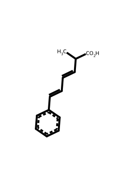 CC(C=CC=Cc1ccccc1)C(=O)O